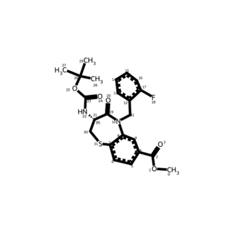 COC(=O)c1ccc2c(c1)N(Cc1ccccc1F)C(=O)[C@@H](NC(=O)OC(C)(C)C)CS2